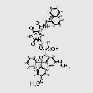 COc1ccc(C(OC[C@H]2O[C@@H](n3cc(C(=O)NCc4cccc5ccccc45)c(=O)[nH]c3=O)C[C@@H]2O)(c2ccccc2)c2ccc(OC)cc2)cc1